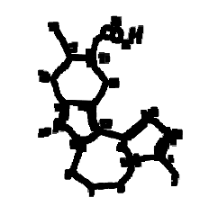 Cc1nnc2n1CCCn1nc3c(c1-2)CN(C(=O)O)C(C)C3